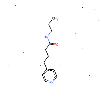 [CH2]CCNC(=O)CCCc1ccncc1